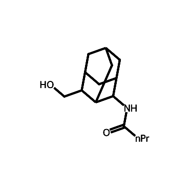 CCCC(=O)NC1C2CC3CC(C2)C(CO)C1C3